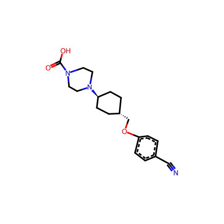 N#Cc1ccc(OC[C@H]2CC[C@H](N3CCN(C(=O)O)CC3)CC2)cc1